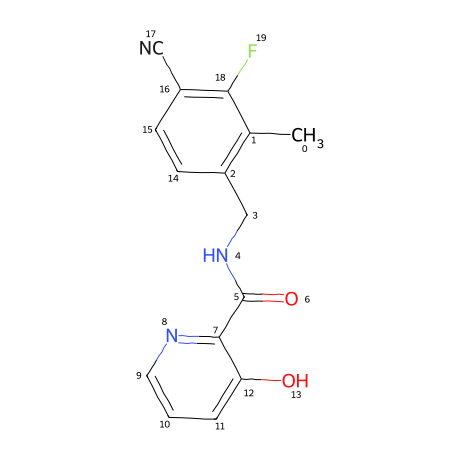 Cc1c(CNC(=O)c2ncccc2O)ccc(C#N)c1F